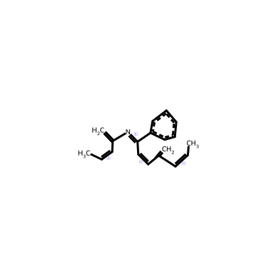 C=C(/C=C\C)/C=C\C(=N/C(=C)/C=C\C)c1ccccc1